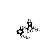 CSc1cccc(NC(=O)c2cocc2C(=O)NO)c1